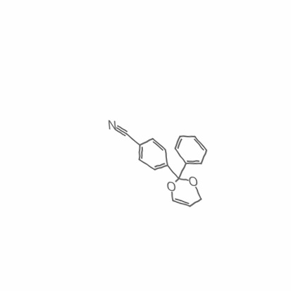 N#Cc1ccc(C2(c3ccccc3)OC=CCO2)cc1